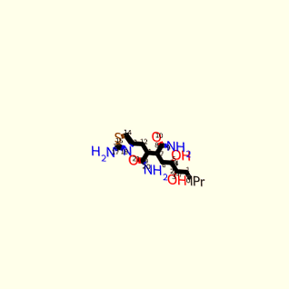 CC(C)C[C@H](O)[C@H](O)CC(C(N)=O)C(Cc1csc(N)n1)C(N)=O